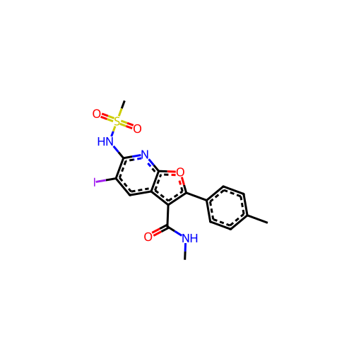 CNC(=O)c1c(-c2ccc(C)cc2)oc2nc(NS(C)(=O)=O)c(I)cc12